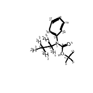 [2H]C([2H])([2H])C([2H])([2H])N(C(=O)OC(C)(C)C)c1ccccc1